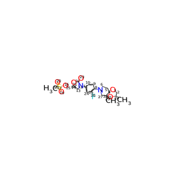 CC1COC2(CCN(c3ccc(N4C[C@H](COS(C)(=O)=O)OC4=O)cc3F)CC2C)O1